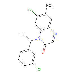 C[C@@H](c1cccc(Cl)c1)n1c(=O)cnc2cc([N+](=O)[O-])c(Br)cc21